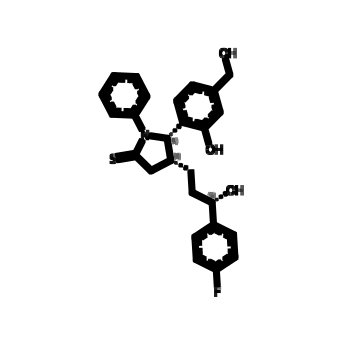 OCc1ccc([C@@H]2[C@H](CC[C@H](O)c3ccc(F)cc3)CC(=S)N2c2ccccc2)c(O)c1